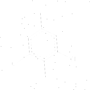 [CH2]c1c(Cl)cc(C)cc1Cl